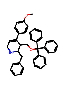 COc1ccc(C2=CCNC(Cc3ccccc3)C2COC(c2ccccc2)(c2ccccc2)c2ccccc2)cc1